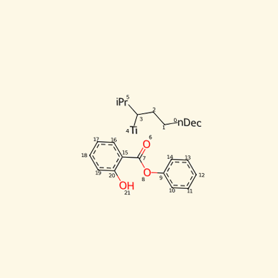 CCCCCCCCCCCC[CH]([Ti])C(C)C.O=C(Oc1ccccc1)c1ccccc1O